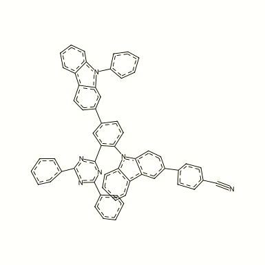 N#Cc1ccc(-c2ccc3c(c2)c2ccccc2n3-c2ccc(-c3ccc4c5ccccc5n(-c5ccccc5)c4c3)cc2-c2nc(-c3ccccc3)nc(-c3ccccc3)n2)cc1